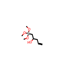 C=CCC(O)C[Si](OC)(OC)OC